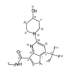 CNC(=O)c1csc2c(C(F)(F)F)cc(N3CCC(O)CC3)nc12